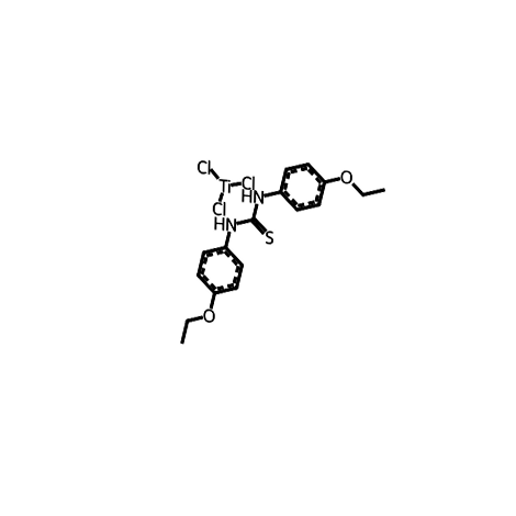 CCOc1ccc(NC(=S)Nc2ccc(OCC)cc2)cc1.[Cl][Ti]([Cl])[Cl]